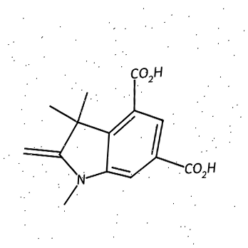 C=C1N(C)c2cc(C(=O)O)cc(C(=O)O)c2C1(C)C